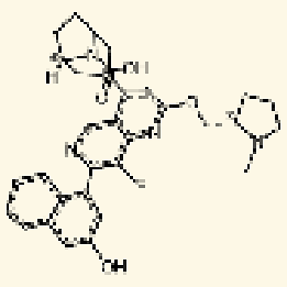 CN1CCC[C@H]1COc1nc(N2CC3CC[C@@H](C2)N3C(=O)O)c2cnc(-c3cc(O)cc4ccccc34)c(F)c2n1